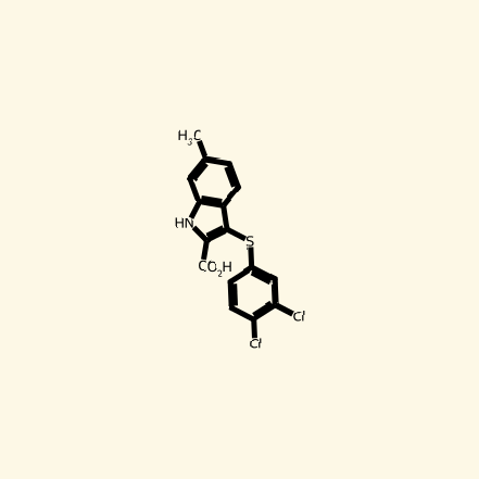 Cc1ccc2c(Sc3ccc(Cl)c(Cl)c3)c(C(=O)O)[nH]c2c1